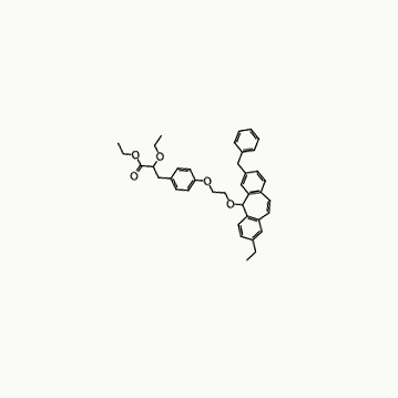 CCOC(=O)C(Cc1ccc(OCCOC2c3ccc(CC)cc3C=Cc3ccc(Cc4ccccc4)cc32)cc1)OCC